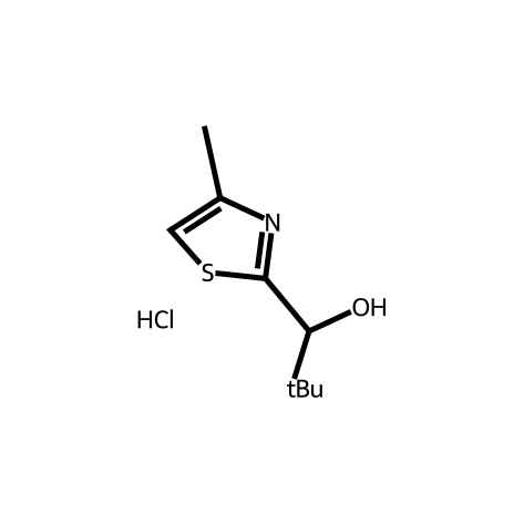 Cc1csc(C(O)C(C)(C)C)n1.Cl